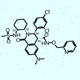 CN(C)c1ccc2c(c1)[C@@H](C(=O)NOCc1ccccn1)[C@H](c1ccc(Cl)cc1Cl)N([C@H]1CCCC[C@@H]1NS(C)(=O)=O)C2=O